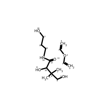 C=COC=C.CC(C)(CO)C(O)C(=O)NCCCO